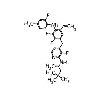 C=Cc1cc(Cc2ccnc(NC(=C)CC(C)(C)C)c2F)c(F)c(F)c1Nc1ccc(C)cc1F